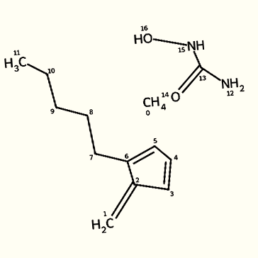 C.C=C1C=CC=C1CCCCC.NC(=O)NO